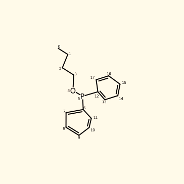 CCCCOP(c1ccccc1)c1ccccc1